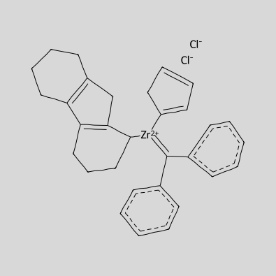 C1=CC[C]([Zr+2](=[C](c2ccccc2)c2ccccc2)[CH]2CCCC3=C2CC2=C3CCCC2)=C1.[Cl-].[Cl-]